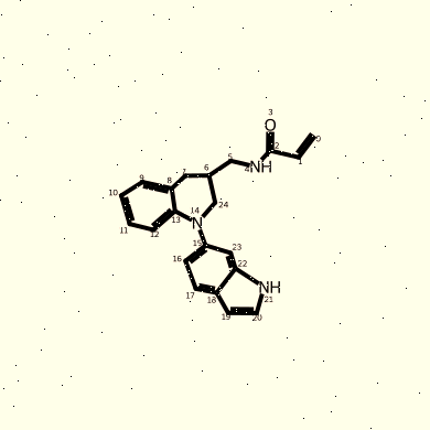 C=CC(=O)NCC1Cc2ccccc2N(c2ccc3cc[nH]c3c2)C1